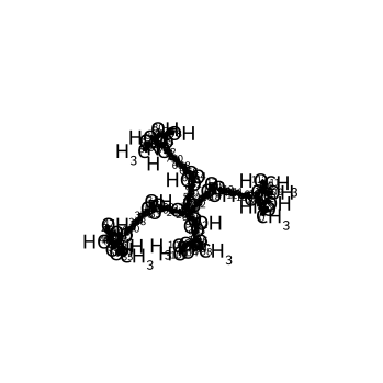 CC(=O)N[C@@H](CO)[C@H](OCCCCCCOP(=O)(O)OCCCOCC(COCCCOP(=O)(O)OCCCCCCO[C@@H]1OC(CO)[C@H](O)C(O)[C@@H]1NC(C)=O)(COCCCOP(=O)(O)OCCCCCCO[C@@H]1OC(CO)[C@H](O)C(O)[C@@H]1NC(C)=O)COP(=O)(O)OC[C@H]1O[C@@H](C)CC1OP(C)(=O)O)OC(CO)[C@@H](C)O